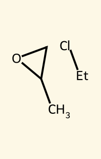 CC1CO1.CCCl